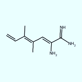 C=C/C(C)=C(C)/C=C(\N)C(=N)N